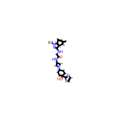 CCn1nc(NCC(=O)NC2CN(C3CCC(O)(c4nccs4)CC3)C2)c2cc(C)ccc21